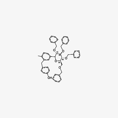 Cc1ccc(C2O[C@H](COCc3ccccc3)[C@@H](OCc3ccccc3)[C@H](OCc3ccccc3)[C@H]2OCc2ccccc2)cc1Cc1ccc(O)cc1